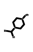 CCCN1CCN(C(CC)CC)CC1